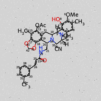 COc1c(C)cc2c(c1O)[C@H]1C3Cc4c(OC(C)=O)c(C)c5c(c4[C@H](CNC(=O)/C=C/c4cccc(C(F)(F)F)c4)N3[C@@H](C#N)[C@@H](C2)N1C)OCO5